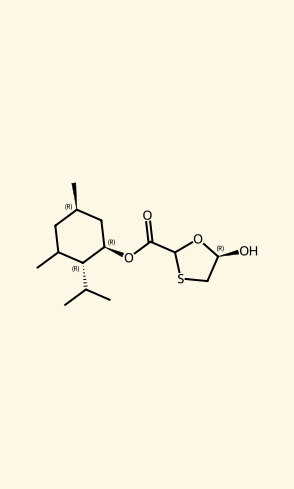 CC(C)[C@@H]1C(C)C[C@@H](C)C[C@H]1OC(=O)C1O[C@@H](O)CS1